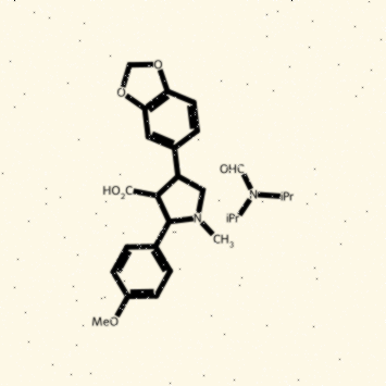 CC(C)N(C=O)C(C)C.COc1ccc(C2C(C(=O)O)C(c3ccc4c(c3)OCO4)CN2C)cc1